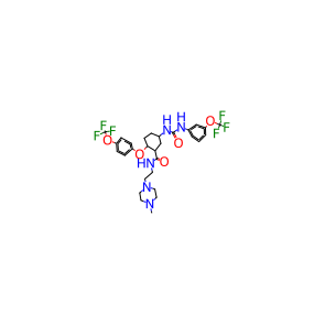 CN1CCN(CCNC(=O)C2CC(NC(=O)Nc3cccc(OC(F)(F)F)c3)CCC2Oc2ccc(OC(F)(F)F)cc2)CC1